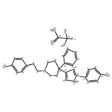 Clc1ccc(CCN2CCC(c3ccccc3)(c3cc(-c4ccc(Cl)cc4)[nH]n3)CC2)cc1.O=C(O)C(F)(F)F